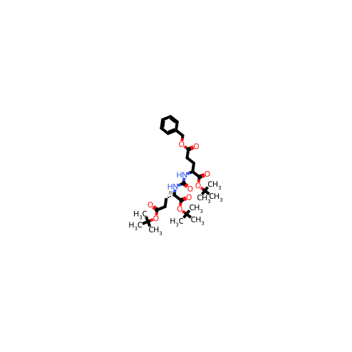 CC(C)(C)OC(=O)CC[C@H](NC(=O)NC(CCC(=O)OCc1ccccc1)C(=O)OC(C)(C)C)C(=O)OC(C)(C)C